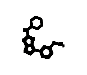 FC(F)(F)Oc1cccc(-c2cnc3sc(NC4CCCCC4)nn23)c1